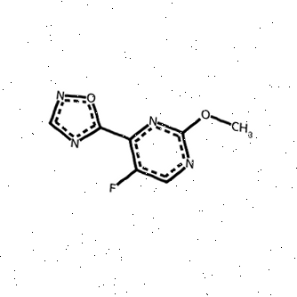 COc1ncc(F)c(-c2ncno2)n1